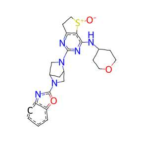 [O-][S+]1CCc2nc(N3CC4CC3CN4c3nc4ccccc4o3)nc(NC3CCOCC3)c21